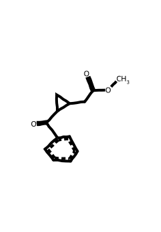 COC(=O)CC1CC1C(=O)c1ccccc1